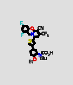 CCOc1ccc(-c2csc(-c3cc(C(F)(F)F)c(C#N)c(=O)n3Cc3ccc(F)cc3F)c2)cc1N(C(=O)O)C(C)(C)C